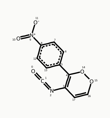 O=C=NC1=C(c2ccc([N+](=O)[O-])cc2)OOC=C1